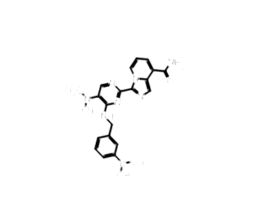 CN(C)c1cnc(-c2ncc3c(C(N)=O)cccn23)nc1NCc1cccc(B(O)O)c1